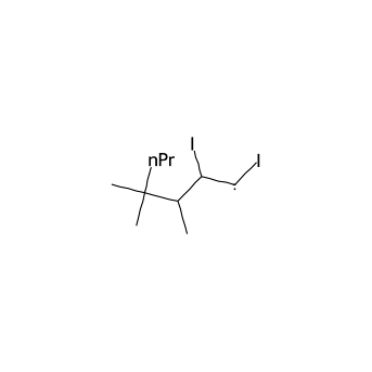 CCCC(C)(C)C(C)C(I)[CH]I